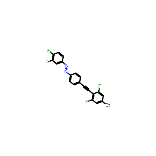 CCc1cc(F)c(C#Cc2ccc(N=Nc3ccc(F)c(F)c3)cc2)c(F)c1